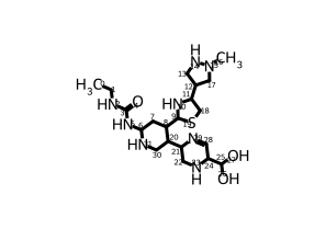 CCNC(=O)NC1CC(C2NC(C3CNN(C)C3)CS2)C(C2CNC(C(O)O)C=N2)CN1